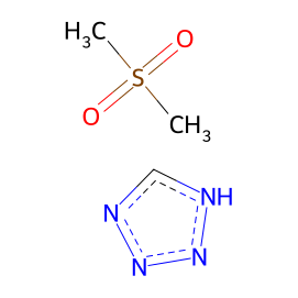 CS(C)(=O)=O.c1nnn[nH]1